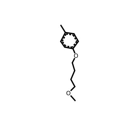 COCCCCOc1ccc(C)cc1